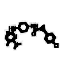 Cc1cnc(N[C@H]2CC[C@@H](NC(=O)C3CC3c3ccc(Cl)cc3)CC2)nc1N(C)C